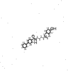 O=C(NCCCCN1CCc2cc(O)ccc2C1)c1ccc(-c2ccccc2)cc1